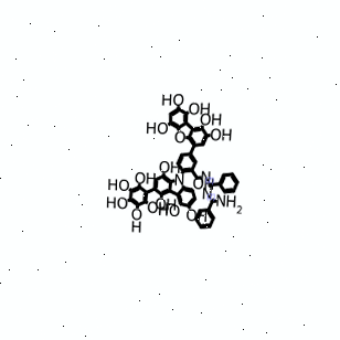 N/C(=N\C(=N/Cc1cc(-c2cc(O)c(O)c3c2oc2c(O)cc(O)c(O)c23)ccc1-n1c2c(O)cc(O)c(O)c2c2c(O)c(-c3c(O)c(O)c(O)c(O)c3O)cc(O)c21)c1ccccc1)c1ccccc1